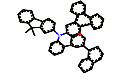 CC1(C)c2ccccc2-c2ccc(N(c3ccc4c5ccccc5c5ccccc5c4c3)c3ccccc3-c3cccc(-c4cccc5ccccc45)c3)cc21